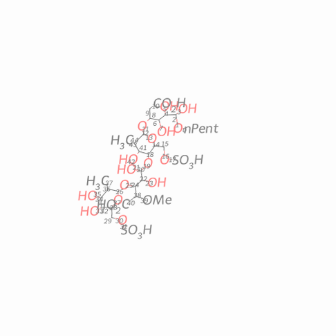 CCCCCOC(O)C(O)C(O)C(CC(=O)O)OC1OC(COS(=O)(=O)O)C(OC(O)C(O)C(OC2OC(COS(=O)(=O)O)C(O)C(O)C2C)C(OC)C(=O)O)C(O)C1C